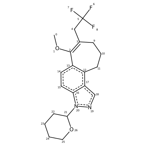 COC1=C(CC(F)(F)F)CCCc2c1ccc1c2cnn1C1CCCCO1